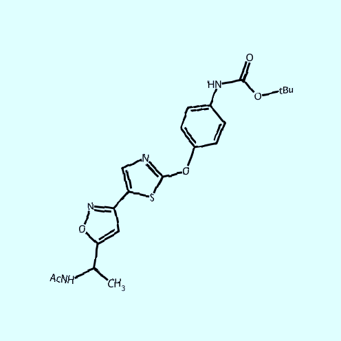 CC(=O)NC(C)c1cc(-c2cnc(Oc3ccc(NC(=O)OC(C)(C)C)cc3)s2)no1